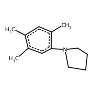 Cc1cc(C)c(N2CCCC2)cc1C